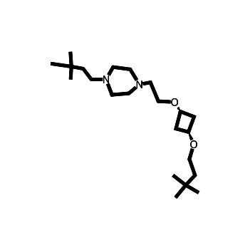 CC(C)(C)CCO[C@H]1C[C@H](OCCN2CCN(CCC(C)(C)C)CC2)C1